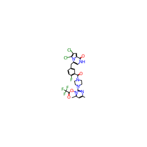 Cc1cc(C)[n+](OC(=O)C(F)(F)F)c(N2CCN(C(=O)c3cc(Cc4c[nH]c(=O)c5cc(Cl)c(Cl)n45)ccc3F)CC2)n1